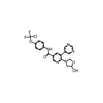 O=C(Nc1ccc(OC(F)(F)Cl)cc1)c1cnc(N2COC(O)C2)c(-c2cncnc2)c1